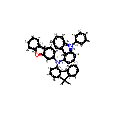 CC1(C)c2ccccc2-c2c(N(c3ccc4c(c3)oc3ccccc34)c3cccc4c3c3ccccc3n4-c3ccccc3)cccc21